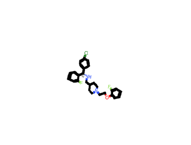 Fc1ccccc1OCCN1CCC(CN[C@@H](c2ccc(Cl)cc2)c2ccccc2F)CC1